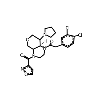 O=C(c1ccon1)N1CCN(C(=O)Cc2ccc(Cl)c(Cl)c2)[C@@H]2C(N3CCCC3)COCC21